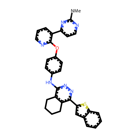 CNc1nccc(-c2cccnc2Oc2ccc(Nc3nnc(-c4cc5ccccc5s4)c4c3CCCC4)cc2)n1